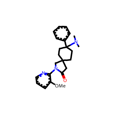 COc1cccnc1N1CC2(CCC(c3ccccc3)(N(C)C)CC2)CC1=O